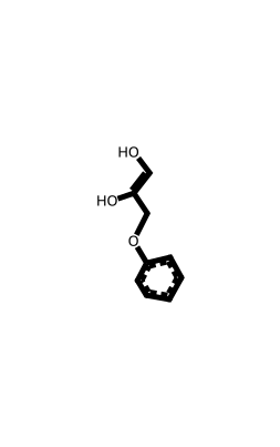 OC=C(O)COc1ccccc1